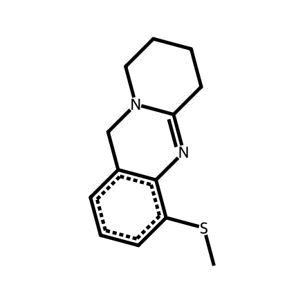 CSc1cccc2c1N=C1CCCCN1C2